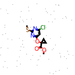 COC(=O)C1(Oc2cc(Cl)nc(SC)n2)CC1